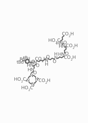 CC(C)(C)[Si](F)(c1ccc(C(=O)NC(CNC(=O)CN2CCN(CC(=O)O)CCN(CC(=O)O)CCN(CC(=O)O)CC2)C(=O)NC(CCCCNC(=O)CCC(=O)NCCCC(NC(=O)CC[C@H](NC(=O)N[C@@H](CCCC(=O)O)C(=O)O)C(=O)O)C(=O)O)C(=O)O)cc1)C(C)(C)C